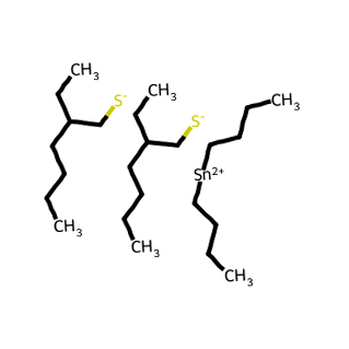 CCCCC(CC)C[S-].CCCCC(CC)C[S-].CCC[CH2][Sn+2][CH2]CCC